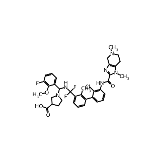 COc1c(F)cccc1C(NC(F)(F)c1cccc(-c2cccc(NC(=O)c3nc4c(n3C)CCN(C)C4)c2Cl)c1C)N1CCC(C(=O)O)C1